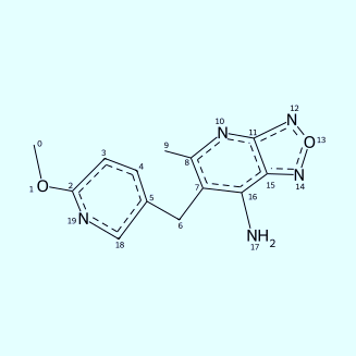 COc1ccc(Cc2c(C)nc3nonc3c2N)cn1